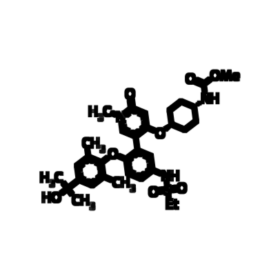 CCS(=O)(=O)Nc1ccc(Oc2c(C)cc(C(C)(C)O)cc2C)c(-c2cn(C)c(=O)cc2O[C@H]2CC[C@H](NC(=O)OC)CC2)c1